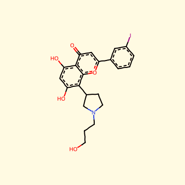 O=c1cc(-c2cccc(I)c2)oc2c(C3CCN(CCCO)C3)c(O)cc(O)c12